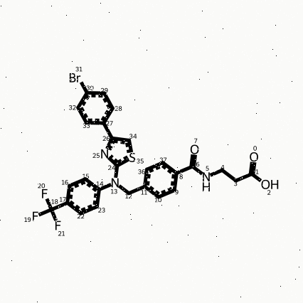 O=C(O)CCNC(=O)c1ccc(CN(c2ccc(C(F)(F)F)cc2)c2nc(-c3ccc(Br)cc3)cs2)cc1